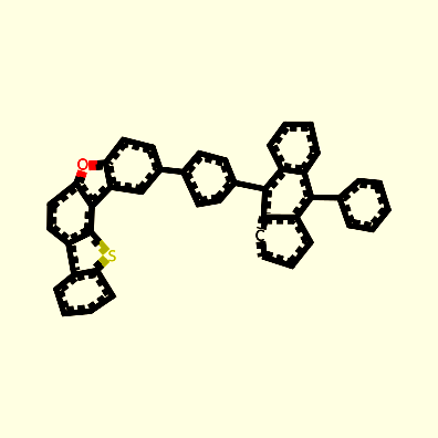 c1ccc(-c2c3ccccc3c(-c3ccc(-c4ccc5oc6ccc7c8ccccc8sc7c6c5c4)cc3)c3ccccc23)cc1